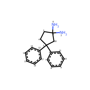 NC1(N)CCC(c2ccccc2)(c2ccccc2)C1